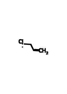 [C].[C]CC=C